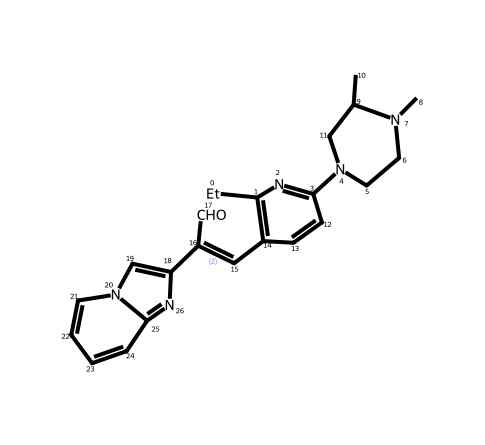 CCc1nc(N2CCN(C)C(C)C2)ccc1/C=C(\C=O)c1cn2ccccc2n1